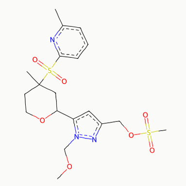 COCn1nc(COS(C)(=O)=O)cc1C1CC(C)(S(=O)(=O)c2cccc(C)n2)CCO1